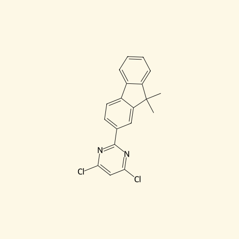 CC1(C)c2ccccc2-c2ccc(-c3nc(Cl)cc(Cl)n3)cc21